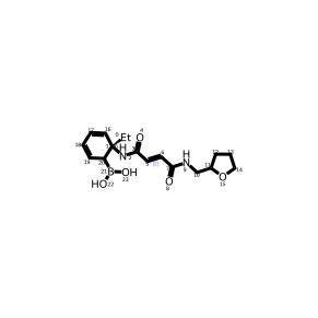 CC[C@]1(NC(=O)/C=C/C(=O)NCC2CCCO2)C=CC=CC1B(O)O